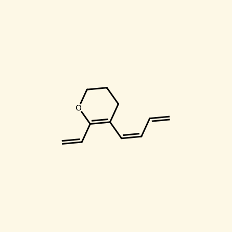 C=C/C=C\C1=C(C=C)OCCC1